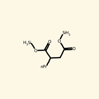 CCCC(CC(=O)O[SiH3])C(=O)O[SiH3]